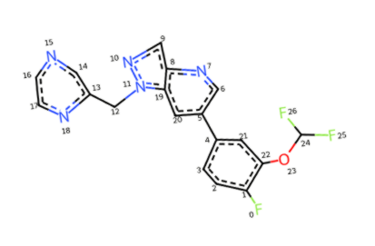 Fc1ccc(-c2cnc3cnn(Cc4cnccn4)c3c2)cc1OC(F)F